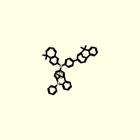 C[C@H]1C2=CC(N(c3ccc(C4=CC=C5CC(=C4)C(C)(C)c4ccccc45)cc3)c3ccc4c(c3)C=CC=CC4(C)C)=CC=C1N(c1ccccc1)c1ccccc12